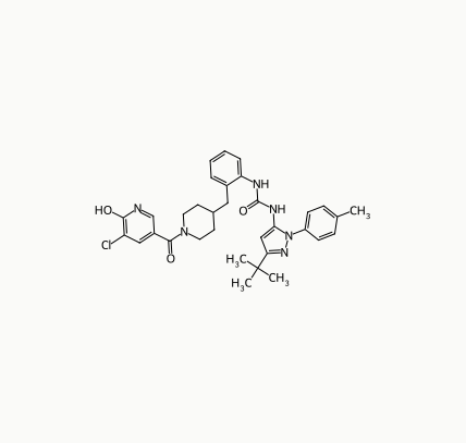 Cc1ccc(-n2nc(C(C)(C)C)cc2NC(=O)Nc2ccccc2CC2CCN(C(=O)c3cnc(O)c(Cl)c3)CC2)cc1